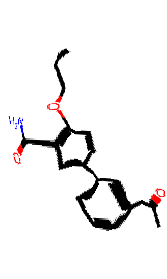 CCCOc1ccc(-c2cccc(C(C)=O)c2)cc1C(N)=O